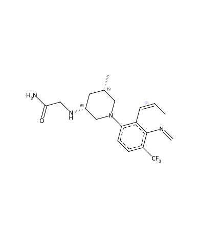 C=Nc1c(C(F)(F)F)ccc(N2C[C@@H](C)C[C@@H](NCC(N)=O)C2)c1/C=C\C